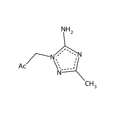 CC(=O)Cn1nc(C)nc1N